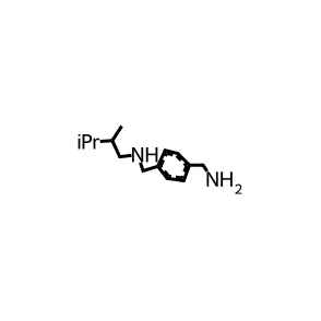 CC(C)C(C)CNCc1ccc(CN)cc1